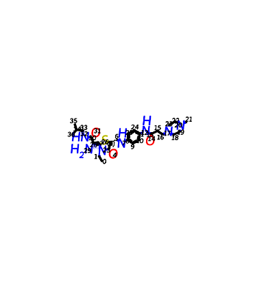 CCN1C(=O)[C@@H](CNc2ccc(NC(=O)CCN3CCN(C)CC3)cc2)S/C1=C(/N)C(=O)NCC(C)C